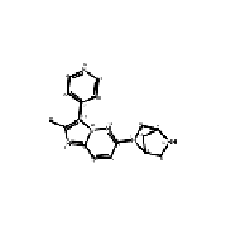 Cc1nc2ccc(N3CC4CC3CN4)nn2c1-c1ccncc1